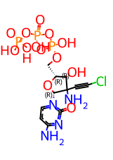 Nc1ccn([C@@H]2O[C@H](COP(=O)(O)OP(=O)(O)OP(=O)(O)O)[C@H](O)C2(N)C#CCl)c(=O)n1